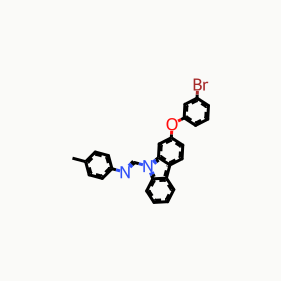 Cc1ccc(/N=C/n2c3ccccc3c3ccc(Oc4cccc(Br)c4)cc32)cc1